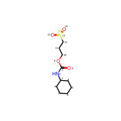 O=C(NC1CCCCC1)OCCC[SH](=O)=O